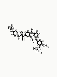 CNC(=O)c1cc(Nc2ncc(F)c(Nc3ccc(NC(=O)Nc4ccc(OC(F)(F)F)cc4)cc3C)n2)ccc1C